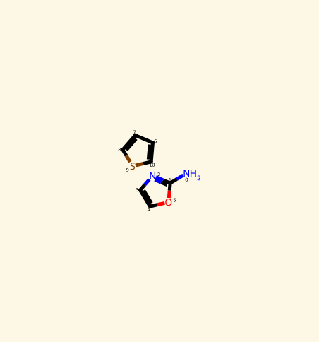 Nc1ncco1.c1ccsc1